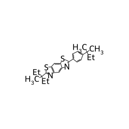 CCC(C)(C)c1ccc(-c2nc3cc4nc(C(C)(CC)CC)sc4cc3s2)cc1